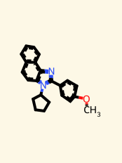 COc1ccc(-c2nc3c4ccccc4ccc3n2C2CCCC2)cc1